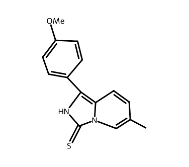 COc1ccc(-c2[nH]c(=S)n3cc(C)ccc23)cc1